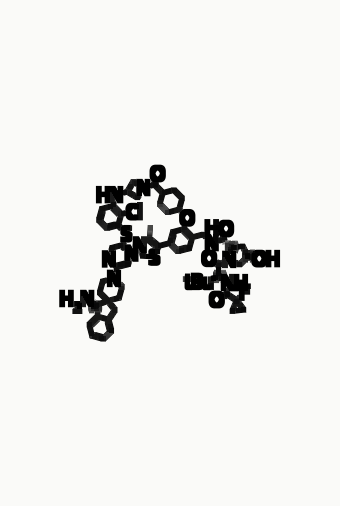 Cc1ncsc1-c1ccc(CNC(=O)[C@@H]2C[C@@H](O)CN2C(=O)[C@@H](NC(=O)C2(F)CC2)C(C)(C)C)c(OC2CCC(C(=O)N3CC(Nc4cccc(Sc5cnc(N6CCC7(CC6)Cc6ccccc6[C@@H]7N)cn5)c4Cl)C3)CC2)c1